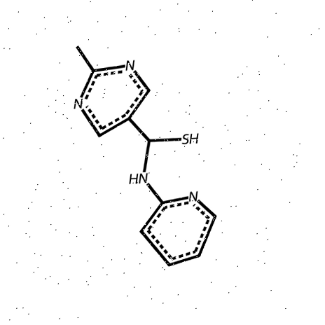 Cc1ncc(C(S)Nc2ccccn2)cn1